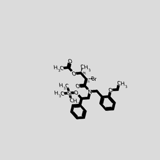 CCOc1ccccc1CN(CC(O[Si](C)(C)C)c1ccccc1)C(=O)[C@@H](Br)[C@@H](C)OC(C)=O